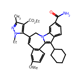 CCOC(=O)c1c(C)nn(CC)c1C1=Cc2cc(OC)ccc2-c2c(C3CCCCC3)c3ccc(C(N)=O)cc3n2C1